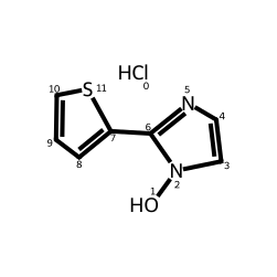 Cl.On1ccnc1-c1cccs1